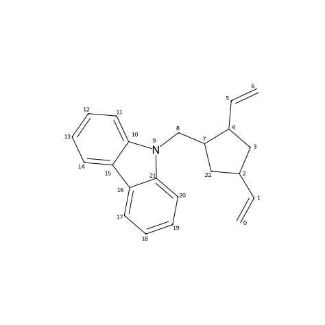 C=CC1CC(C=C)C(Cn2c3ccccc3c3ccccc32)C1